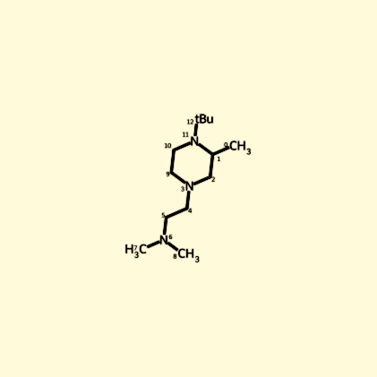 CC1CN(CCN(C)C)CCN1C(C)(C)C